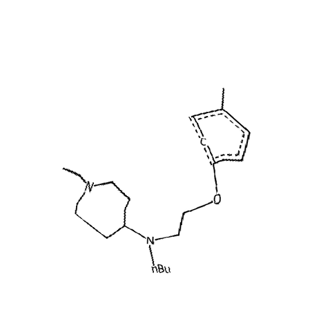 CCCCN(CCOc1ccc(C)cc1)C1CCN(C)CC1